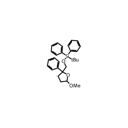 COC1C[CH]C(CO[Si](c2ccccc2)(c2ccccc2)C(C)(C)C)(c2ccccc2)O1